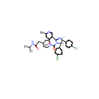 CCOc1cc(C(C)(C)C)ncc1C1=N[C@@](C)(c2ccc(Cl)cc2)[C@@](C)(c2ccc(Cl)cc2)N1C(=O)N1CCC(CC(=O)NC(CC)CC)CC1